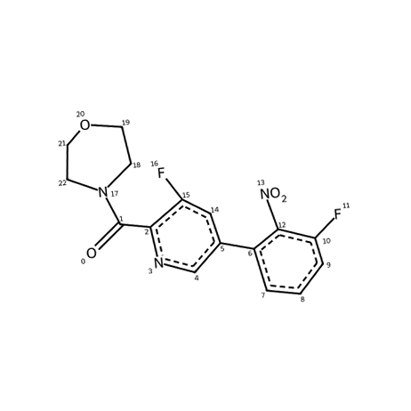 O=C(c1ncc(-c2cccc(F)c2[N+](=O)[O-])cc1F)N1CCOCC1